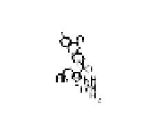 CC(=N)/C=C\c1csc(NC(N)=O)c1C(=O)N1CCC2(CC1)CC(=O)c1cc(C)ccc1S2